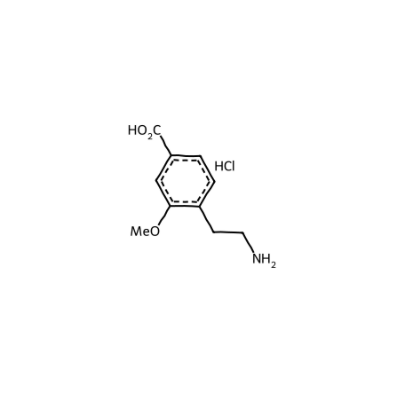 COc1cc(C(=O)O)ccc1CCN.Cl